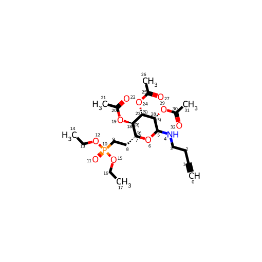 C#CCCNC1O[C@H](CCP(=O)(OCC)OCC)[C@@H](OC(C)=O)[C@H](OC(C)=O)[C@@H]1OC(C)=O